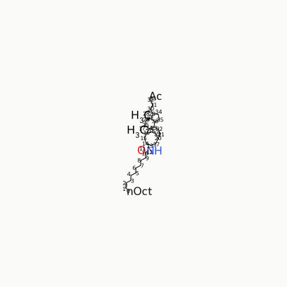 CCCCCCCC/C=C\CCCCCCCC(=O)NC1CCC2(C)CCC(CCC3C2CCC2(C)C(CCCC(C)=O)CCC32)C1